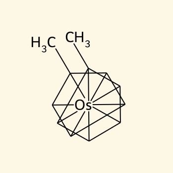 C[C]12[CH]3[CH]4[CH]5[CH]1[Os]45321678[CH]2[CH]1[CH]6[C]7(C)[CH]28